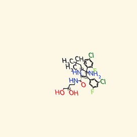 CC(C)(C)C[C@@H]1N[C@@H](C(=O)NCC[C@H](O)CO)[C@H](c2cc(F)cc(Cl)c2)[C@@]1(N)c1ccc(Cl)cc1F